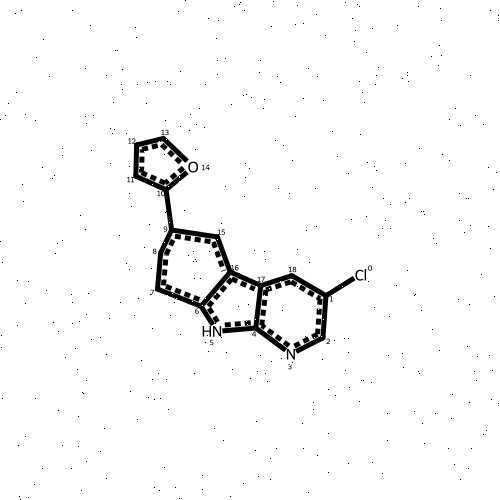 Clc1cnc2[nH]c3ccc(-c4ccco4)cc3c2c1